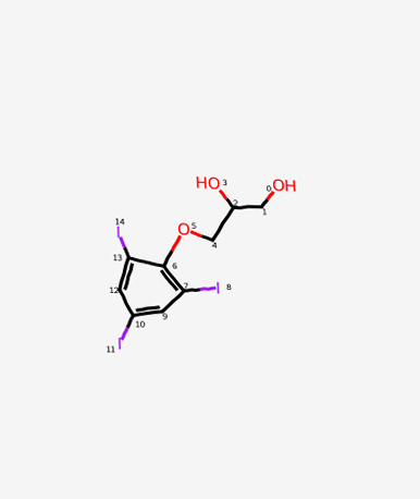 OCC(O)COc1c(I)cc(I)cc1I